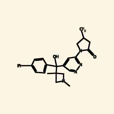 CC(C)c1ccc(C(O)(c2cnnc(N3CC(C(F)(F)F)CC3=O)c2)C2(C)CN(C)C2)cc1